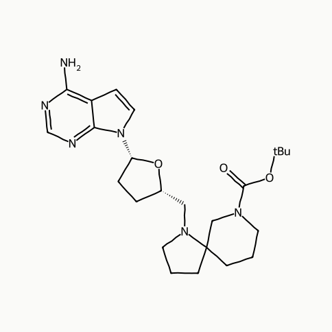 CC(C)(C)OC(=O)N1CCCC2(CCCN2C[C@@H]2CC[C@H](n3ccc4c(N)ncnc43)O2)C1